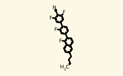 C=CCCc1ccc2c(F)c(-c3ccc(-c4cc(F)c(C#N)c(F)c4)c(F)c3)ccc2c1